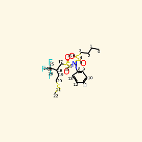 CCCCS(=O)(=O)N(c1ccccc1)S(=O)(=O)CC(CCSC)C(F)(F)F